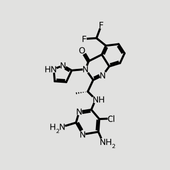 C[C@@H](Nc1nc(N)nc(N)c1Cl)c1nc2cccc(C(F)F)c2c(=O)n1-c1cc[nH]n1